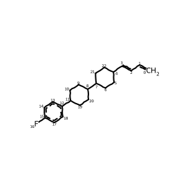 C=CC=CC1CCC(C2CCC(c3ccc(F)cc3)CC2)CC1